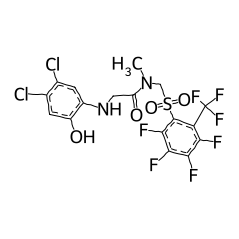 CN(CS(=O)(=O)c1c(F)c(F)c(F)c(F)c1C(F)(F)F)C(=O)CNc1cc(Cl)c(Cl)cc1O